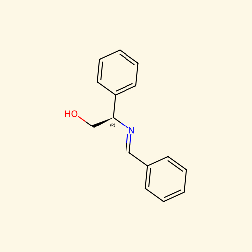 OC[C@H](N=Cc1ccccc1)c1ccccc1